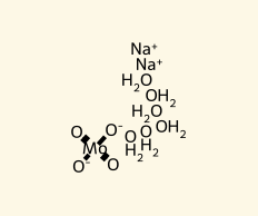 O.O.O.O.O.O.[Na+].[Na+].[O]=[Mo](=[O])([O-])[O-]